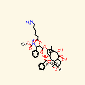 CC(=O)O[C@]12CO[C@H]1C[C@@H](O)[C@]1(C)C(=O)[C@@H](O)C3=C(C)[C@H](OC(=O)[C@@H](OC(=O)CCCCCN)[C@H](NC(=O)OC(C)(C)C)c4ccccc4)C[C@](O)([C@H](OC(=O)c4ccccc4)[C@@H]21)C3(C)C